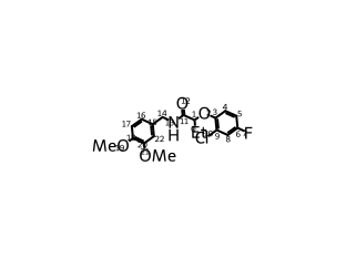 CCC(Oc1ccc(F)cc1Cl)C(=O)NCc1ccc(OC)c(OC)c1